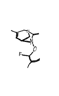 C=C(C)C(F)ON1C(=C)N2CC(C)=CC1C2